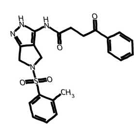 Cc1ccccc1S(=O)(=O)N1Cc2n[nH]c(NC(=O)CCC(=O)c3ccccc3)c2C1